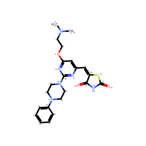 CN(C)CCOc1cc(/C=C2/SC(=O)NC2=O)nc(N2CCN(c3ccccc3)CC2)n1